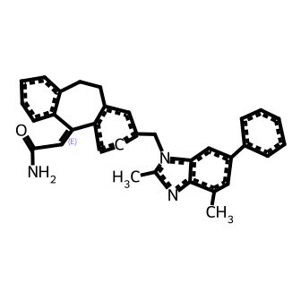 Cc1cc(-c2ccccc2)cc2c1nc(C)n2Cc1ccc2c(c1)CCc1ccccc1/C2=C\C(N)=O